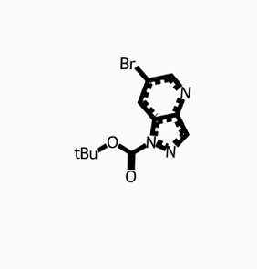 CC(C)(C)OC(=O)n1ncc2ncc(Br)cc21